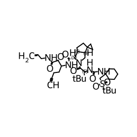 C#CCCC(NC(=O)[C@@H]1[C@H]2CCC3(CC3)[C@H]2CN1C(=O)[C@@H](NC(=O)NC1(CS(=O)(=O)C(C)(C)C)CCCCC1)C(C)(C)C)C(=O)C(=O)NCC=C